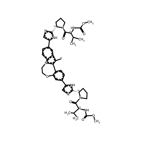 COC(=O)N[C@H](C(=O)N1CCC[C@H]1c1ncc(-c2ccc3c(c2)OCCn2c-3c(F)c3cc(-c4cnc([C@@H]5CCCN5C(=O)[C@@H](NC(=O)OC)C(C)C)[nH]4)ccc32)[nH]1)C(C)C